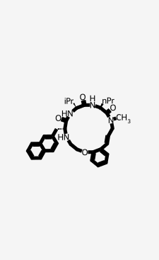 CCC[C@@H]1NC(=O)[C@@H](C(C)C)NC(=O)[C@@H](Cc2ccc3ccccc3c2)NCCOc2ccccc2/C=C/CN(C)C1=O